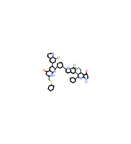 CSCc1c(-c2cc(Cl)c3nc(-c4cccc(-c5nc6[nH]c(CSc7ccccc7)cc(=O)c6cc5-c5cc(Cl)c6ncccc6c5)c4)ccc3c2)c(-c2ccccc2)nc2[nH]ccc(=O)c12